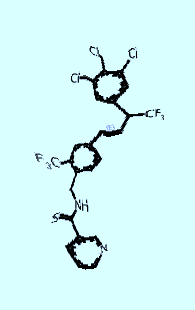 FC(F)(F)c1cc(/C=C/C(c2cc(Cl)c(Cl)c(Cl)c2)C(F)(F)F)ccc1CNC(=S)c1cccnc1